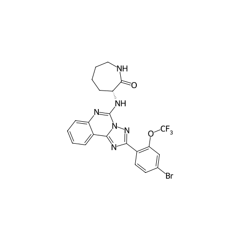 O=C1NCCCC[C@H]1Nc1nc2ccccc2c2nc(-c3ccc(Br)cc3OC(F)(F)F)nn12